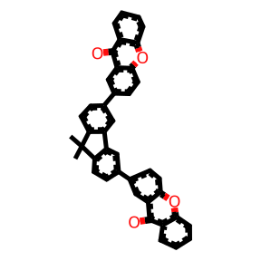 CC1(C)c2ccc(-c3ccc4oc5ccccc5c(=O)c4c3)cc2-c2cc(-c3ccc4oc5ccccc5c(=O)c4c3)ccc21